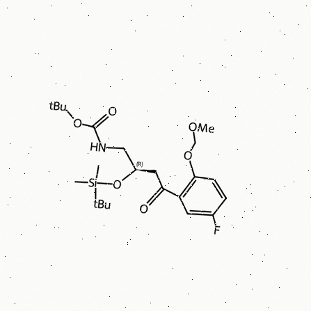 COCOc1ccc(F)cc1C(=O)C[C@H](CNC(=O)OC(C)(C)C)O[Si](C)(C)C(C)(C)C